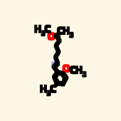 COc1ccc(C)cc1/C=C/CCCC[C@@H](C)OC